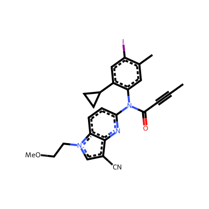 CC#CC(=O)N(c1ccc2c(n1)c(C#N)cn2CCOC)c1cc(C)c(I)cc1C1CC1